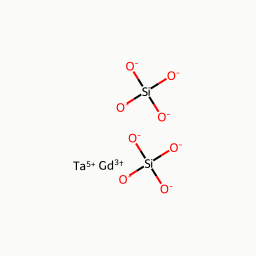 [Gd+3].[O-][Si]([O-])([O-])[O-].[O-][Si]([O-])([O-])[O-].[Ta+5]